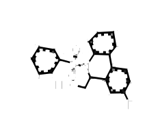 CCC1c2cc(F)ccc2-c2ccccc2N1S(=O)(=O)c1cc[c]cc1